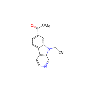 COC(=O)c1ccc2c3ccncc3n(CC#N)c2c1